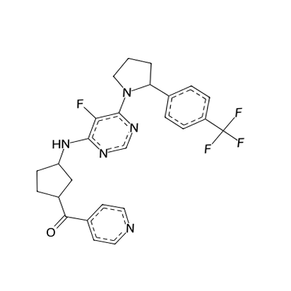 O=C(c1ccncc1)C1CCC(Nc2ncnc(N3CCCC3c3ccc(C(F)(F)F)cc3)c2F)C1